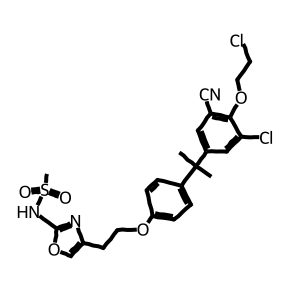 CC(C)(c1ccc(OCCc2coc(NS(C)(=O)=O)n2)cc1)c1cc(Cl)c(OCCCl)c(C#N)c1